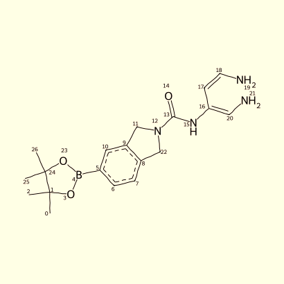 CC1(C)OB(c2ccc3c(c2)CN(C(=O)NC(/C=C\N)=C/N)C3)OC1(C)C